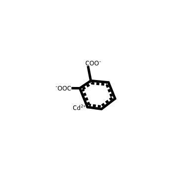 O=C([O-])c1ccccc1C(=O)[O-].[Cd+2]